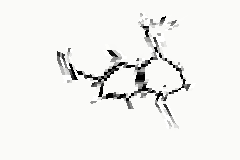 CN1CCNc2ccc(Br)cc21